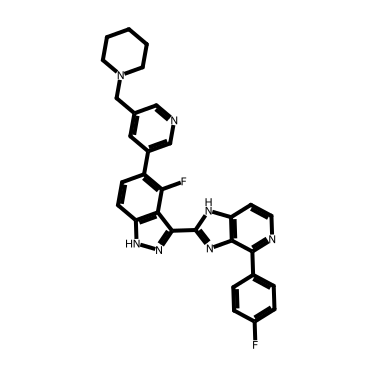 Fc1ccc(-c2nccc3[nH]c(-c4n[nH]c5ccc(-c6cncc(CN7CCCCC7)c6)c(F)c45)nc23)cc1